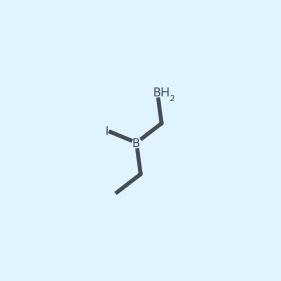 BCB(I)CC